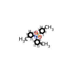 Cc1ccc(S(=O)(=O)N(c2cccc(C)c2)c2cccc(C)c2)cc1